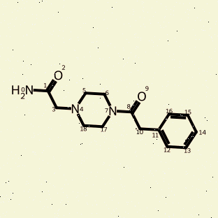 NC(=O)CN1CCN(C(=O)[CH]c2ccccc2)CC1